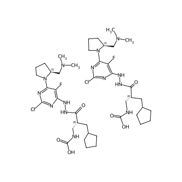 CN(C)C[C@@H]1CCCN1c1nc(Cl)nc(NNC(=O)[C@@H](CNC(=O)O)CC2CCCC2)c1F.CN(C)C[C@@H]1CCCN1c1nc(Cl)nc(NNC(=O)[C@@H](CNC(=O)O)CC2CCCC2)c1F